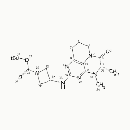 C[C@H]1C(=O)N2CCCc3nc(NC4CN(C(=O)OC(C)(C)C)C4)nc(c32)N1C